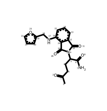 CC(=O)CCC(C(N)=O)N1C(=O)c2cccc(NCc3ccco3)c2C1=O